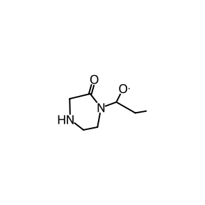 CCC([O])N1CCNCC1=O